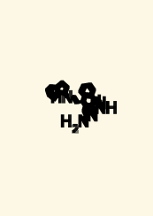 Nc1cc([C@@H](CCNC2CCc3ccccc32)c2ccccc2)c2nn[nH]c2n1